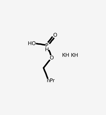 CCCCO[PH](=O)O.[KH].[KH]